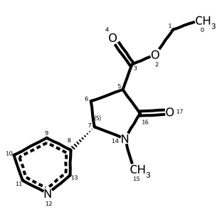 CCOC(=O)C1C[C@@H](c2cccnc2)N(C)C1=O